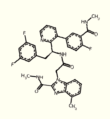 CNC(=O)c1cc(-c2cccnc2[C@H](Cc2cc(F)cc(F)c2)NC(=O)Cn2c(C(=O)NC)nc3c(C)cccc32)ccc1F